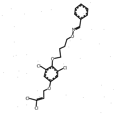 ClC(Cl)=CCOc1cc(Cl)c(OCCCCON=Cc2ccccc2)c(Cl)c1